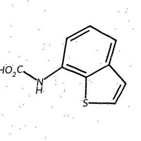 O=C(O)Nc1cccc2ccsc12